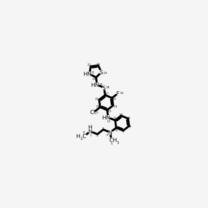 CNCCN(C)c1ccccc1Nc1cc(F)c(SNC2NC=CS2)cc1Cl